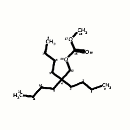 CCCCC(CCCC)(CCCC)COC(=O)OC